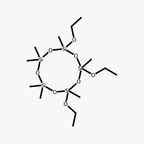 CCO[Si]1(C)O[Si](C)(C)O[Si](C)(C)O[Si](C)(OCC)O[Si](C)(OCC)O1